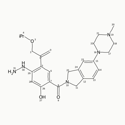 C=C(COC(C)C)c1cc(C(=O)N2Cc3ccc(N4CCN(C)CC4)cc3C2)c(O)cc1NN